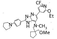 CCOc1cc(-c2cc(N(C)CC3(COC)CCCC3)c3[nH]c(-c4ccc(N5CCCCC5)cc4)nc3n2)cc(C(F)(F)F)n1